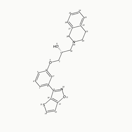 O[C@@H](COc1cccc(-c2noc3ccsc23)c1)CN1CCc2ccccc2C1